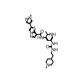 CC1NC=C(NC(=O)NCCC2CCN(C)CC2)C=C1NC(=O)c1cnn2cc(-c3cnn(C)c3)sc12